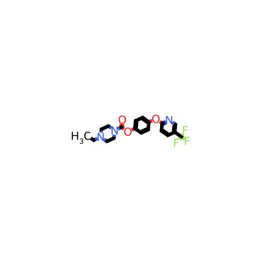 CCN1CCN(C(=O)Oc2ccc(Oc3ccc(C(F)(F)F)cn3)cc2)CC1